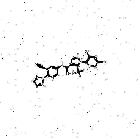 N#Cc1cc(NC(O)c2cnn(-c3ncc(F)cc3Cl)c2C(F)(F)F)cnc1-n1nccn1